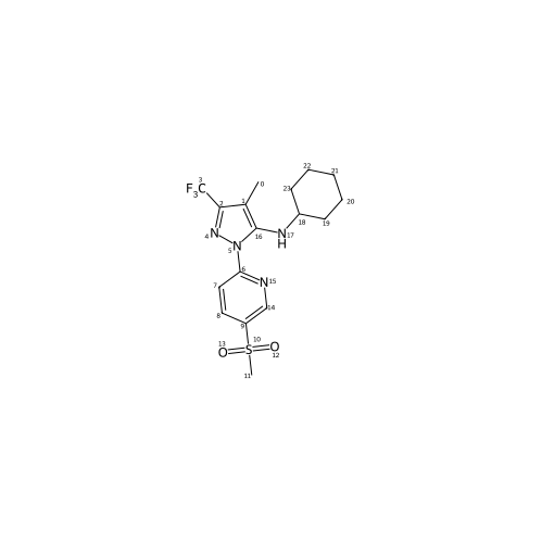 Cc1c(C(F)(F)F)nn(-c2ccc(S(C)(=O)=O)cn2)c1NC1CCCCC1